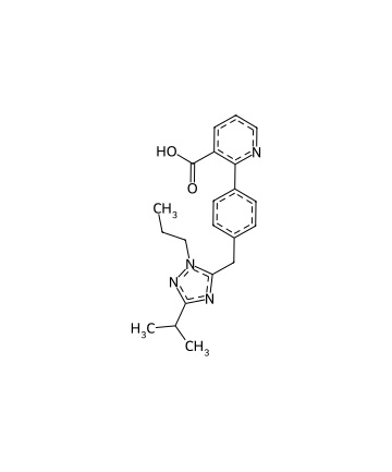 CCCn1nc(C(C)C)nc1Cc1ccc(-c2ncccc2C(=O)O)cc1